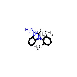 Cc1cccc(C)c1-n1c(C)[n+](N)c2ccccc21